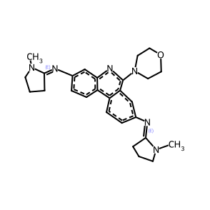 CN1CCC/C1=N\c1ccc2c(c1)nc(N1CCOCC1)c1cc(/N=C3\CCCN3C)ccc12